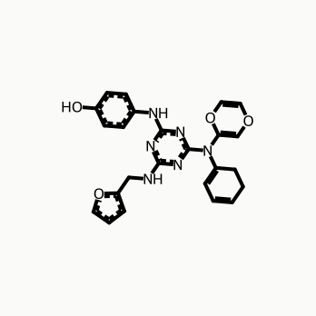 Oc1ccc(Nc2nc(NCc3ccco3)nc(N(C3=CC=CCC3)C3=COC=CO3)n2)cc1